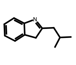 CC(C)CC1=Nc2ccccc2C1